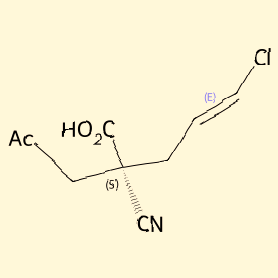 CC(=O)C[C@](C#N)(C/C=C/Cl)C(=O)O